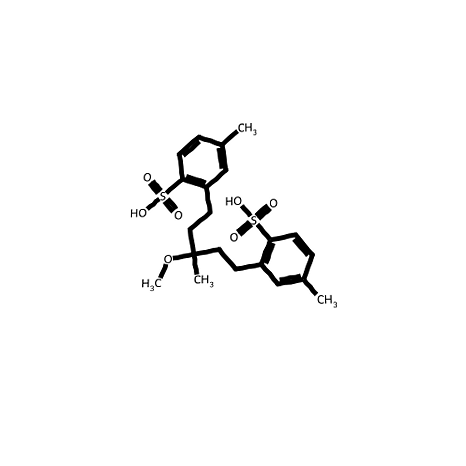 COC(C)(CCc1cc(C)ccc1S(=O)(=O)O)CCc1cc(C)ccc1S(=O)(=O)O